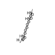 CCCCNC(=O)COCC(=O)NCCOCCOCCOCCOCCOCCNC(=O)CON